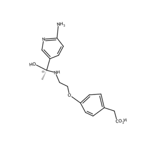 C[C@@](O)(NCCOc1ccc(CC(=O)O)cc1)c1ccc(N)nc1